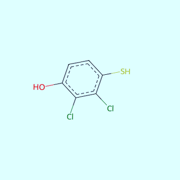 Oc1ccc(S)c(Cl)c1Cl